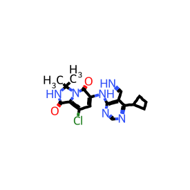 CC1(C)NC(=O)c2c(Cl)cc(Nc3ncnc(C4CCC4)c3C=N)c(=O)n21